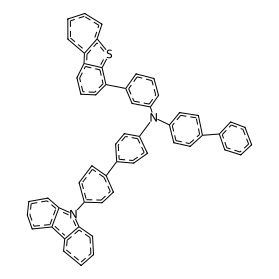 c1ccc(-c2ccc(N(c3ccc(-c4ccc(-n5c6ccccc6c6ccccc65)cc4)cc3)c3cccc(-c4cccc5c4sc4ccccc45)c3)cc2)cc1